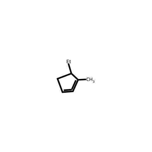 CCC1CC=C=C1C